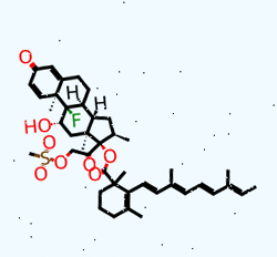 C/C=C(C)/C=C/C=C(C)/C=C/C1=C(C)CCCC1(C)C(=O)O[C@]1(C(=O)COS(C)(=O)=O)[C@H](C)C[C@H]2[C@@H]3CCC4=CC(=O)C=C[C@]4(C)[C@@]3(F)[C@@H](O)C[C@@]21C